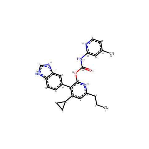 N#CCCc1cc(C2CC2)c(-c2ccc3[nH]cnc3c2)c(OC(=O)Nc2cc(C#N)ccn2)n1